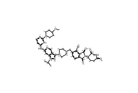 COC1CCN(c2nccc(Nc3cc4c(cn3)c(N3CCN(Cc5ccc6c(c5Br)C(=O)N(C5CCC(=O)NC5=O)C6=O)CC3)nn4C(C)C)n2)CC1